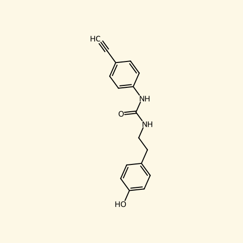 C#Cc1ccc(NC(=O)NCCc2ccc(O)cc2)cc1